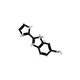 Nc1ccc2nc(-c3nccs3)[nH]c2c1